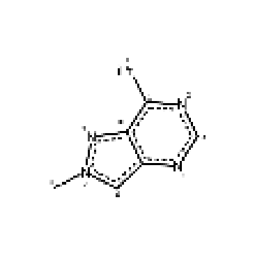 CC(C)c1ncnc2cn(C)nc12